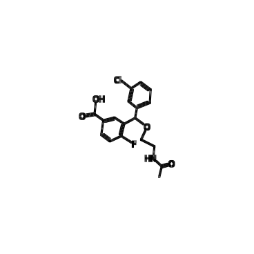 CC(=O)NCCOC(c1cccc(Cl)c1)c1cc(C(=O)O)ccc1F